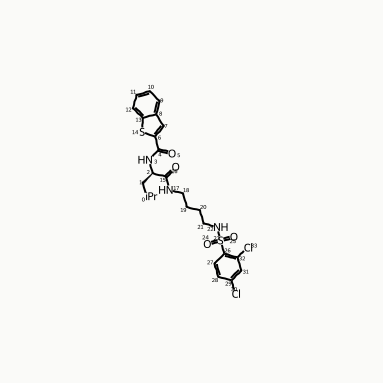 CC(C)C[C@@H](NC(=O)c1cc2ccccc2s1)C(=O)NCCCCNS(=O)(=O)c1ccc(Cl)cc1Cl